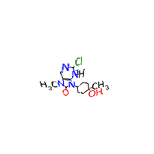 [2H]N1c2c(n(C)c(=O)n2C2CCC(C)(O)CC2)C=NC1Cl